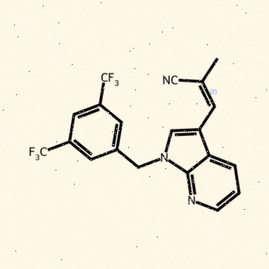 C/C(C#N)=C/c1cn(Cc2cc(C(F)(F)F)cc(C(F)(F)F)c2)c2ncccc12